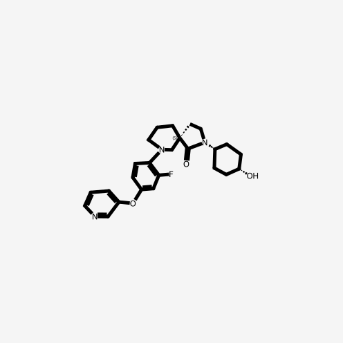 O=C1N([C@H]2CC[C@@H](O)CC2)CC[C@]12CCCN(c1ccc(Oc3cccnc3)cc1F)C2